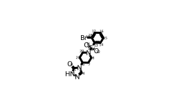 O=c1[nH]ncn1C1CCN(S(=O)(=O)c2ccccc2Br)CC1